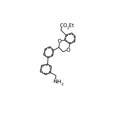 CCOC(=O)Cc1cccc2c1OC(c1cccc(-c3cccc(CN)c3)c1)CO2